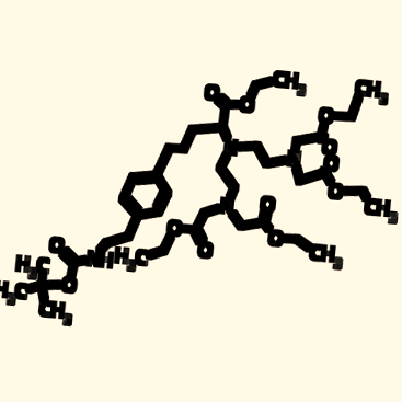 CCOC(=O)CN(CCN(CCN(CC(=O)OCC)CC(=O)OCC)C(CCCc1ccc(CCNC(=O)OC(C)(C)C)cc1)C(=O)OCC)CC(=O)OCC